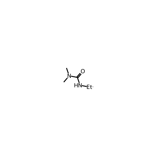 C[CH]NC(=O)N(C)C